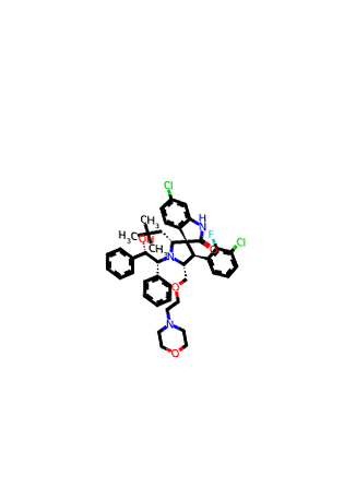 CC(C)(C)C[C@H]1N([C@H](c2ccccc2)[C@@H](O)c2ccccc2)[C@@H](COCCN2CCOCC2)[C@H](c2cccc(Cl)c2F)[C@@]12C(=O)Nc1cc(Cl)ccc12